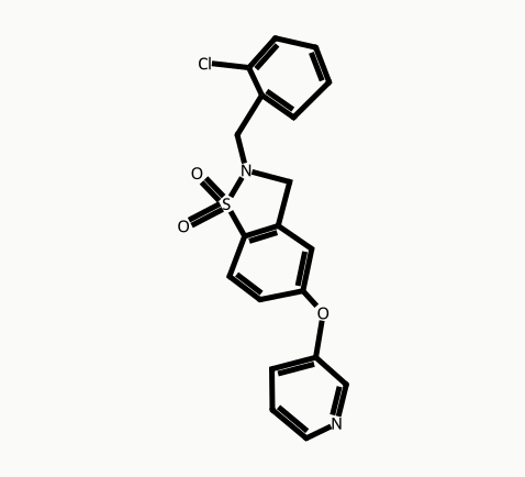 O=S1(=O)c2ccc(Oc3cccnc3)cc2CN1Cc1ccccc1Cl